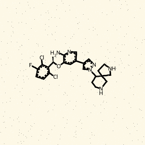 C[C@@H](Oc1cc(-c2cnn(C3CCNCC34CCNC4)c2)cnc1N)c1c(Cl)ccc(F)c1Cl